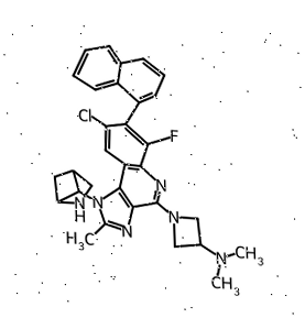 Cc1nc2c(N3CC(N(C)C)C3)nc3c(F)c(-c4cccc5ccccc45)c(Cl)cc3c2n1C1C2CNC1C2